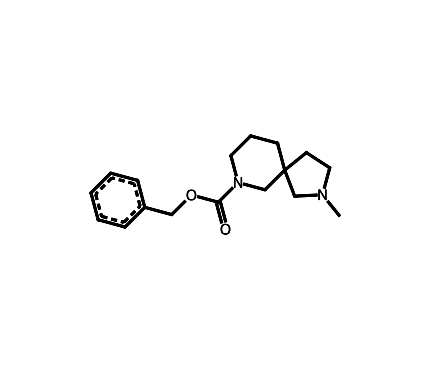 CN1CCC2(CCCN(C(=O)OCc3ccccc3)C2)C1